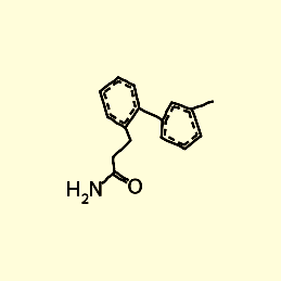 Cc1cccc(-c2ccccc2CCC(N)=O)c1